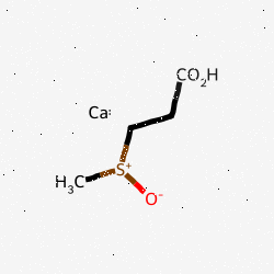 C[S+]([O-])CCC(=O)O.[Ca]